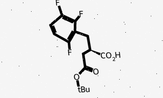 CC(C)(C)OC(=O)C[C@@H](Cc1c(F)ccc(F)c1F)C(=O)O